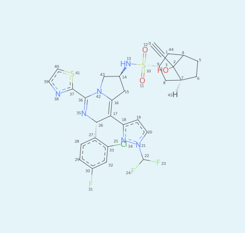 C#CC1(O)C2CC[C@H]1C[C@H](S(=O)(=O)N[C@H]1CC3=C(c4ccn(C(F)F)n4)[C@H](c4ccc(F)cc4Cl)N=C(c4nccs4)N3C1)C2